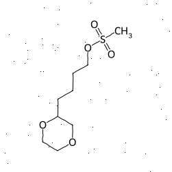 CS(=O)(=O)OCCCCC1COCCO1